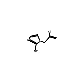 C=C(Cl)Cn1ccnc1[N+](=O)[O-]